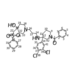 O=C(c1ccccc1)N1CCCC(NCCCN2CCC(O)(CS(=O)(=O)c3ccccc3)CC2)(c2ccc(Cl)c(Cl)c2)C1